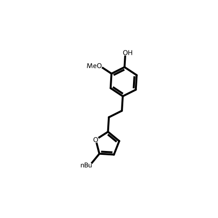 CCCCc1ccc(CCc2ccc(O)c(OC)c2)o1